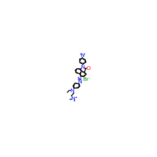 CCN(CC[N+](C)(C)C)c1ccc(N=Nc2ccc3c4c(cccc24)N(c2ccc(N(C)C)cc2)C3=O)cc1.[Br-]